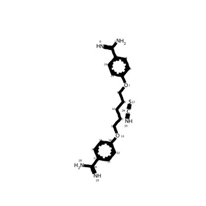 N=C(N)c1ccc(OCCCCCOc2ccc(C(=N)N)cc2)cc1.N=C=S